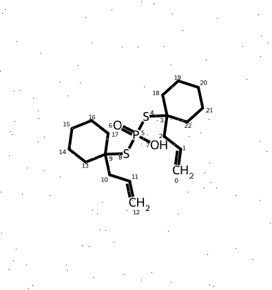 C=CCC1(SP(=O)(O)SC2(CC=C)CCCCC2)CCCCC1